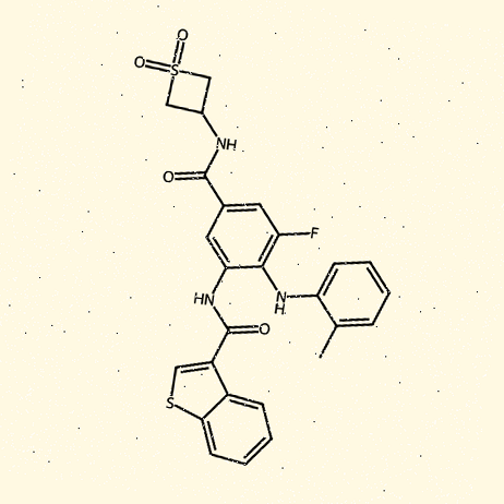 Cc1ccccc1Nc1c(F)cc(C(=O)NC2CS(=O)(=O)C2)cc1NC(=O)c1csc2ccccc12